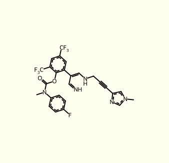 CN(C(=O)Oc1c(/C(C=N)=C/NCC#Cc2cn(C)cn2)cc(C(F)(F)F)cc1C(F)(F)F)c1ccc(F)cc1